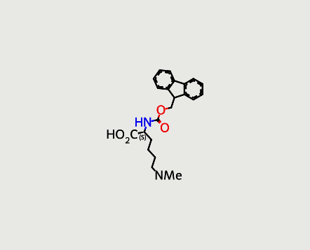 CNCCCC[C@H](NC(=O)OCC1c2ccccc2-c2ccccc21)C(=O)O